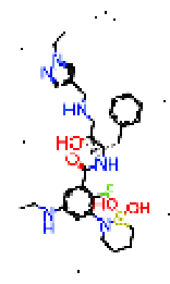 CCNc1cc(C(=O)N[C@@H](Cc2ccccc2)[C@H](O)CNCc2cnn(CC)c2)c(F)c(N2CCCCS2(O)O)c1